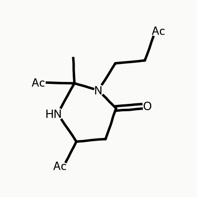 CC(=O)CCN1C(=O)CC(C(C)=O)NC1(C)C(C)=O